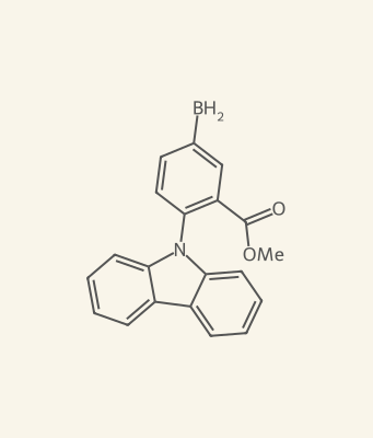 Bc1ccc(-n2c3ccccc3c3ccccc32)c(C(=O)OC)c1